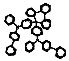 c1ccc(-c2ccc(N(c3ccccc3)c3ccc(C4(c5ccc(N(c6ccccc6)c6ccc(-c7ccccc7)cc6)cc5)c5ccccc5-c5ccccc5-c5ccccc54)cc3)cc2)cc1